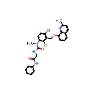 Cc1ccc2cccc(OCc3c(Cl)ccc(N(C)C(=O)NCC(=O)Nc4ccccc4)c3Cl)c2n1